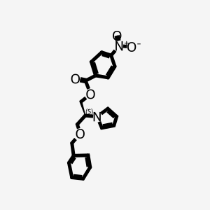 O=C(OC[C@H](COCc1ccccc1)n1cccc1)c1ccc([N+](=O)[O-])cc1